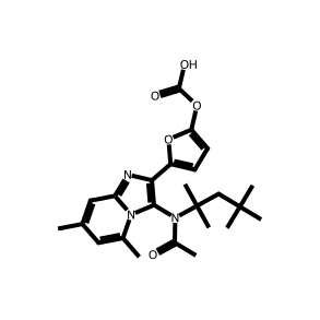 CC(=O)N(c1c(-c2ccc(OC(=O)O)o2)nc2cc(C)cc(C)n12)C(C)(C)CC(C)(C)C